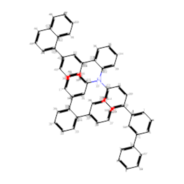 c1ccc(-c2cccc(-c3ccc(N(c4cccc(-c5ccccc5-c5ccccc5)c4)c4ccccc4-c4cccc(-c5cccc6ccccc56)c4)cc3)c2)cc1